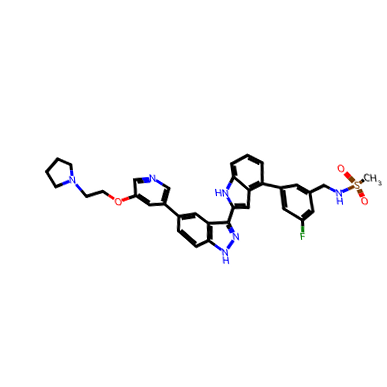 CS(=O)(=O)NCc1cc(F)cc(-c2cccc3[nH]c(-c4n[nH]c5ccc(-c6cncc(OCCN7CCCC7)c6)cc45)cc23)c1